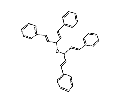 C(=C\C(/C=C/c1ccccc1)OC(/C=C/c1ccccc1)/C=C/c1ccccc1)/c1ccccc1